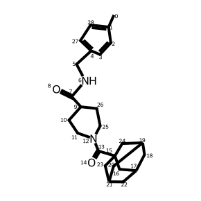 Cc1ccc(CNC(=O)C2CCN(C(=O)C34CC5CC(CC(C5)C3)C4)CC2)cc1